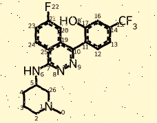 CN1CCCC(Nc2nnc(-c3ccc(C(F)(F)F)cc3O)c3cc(F)ccc23)C1